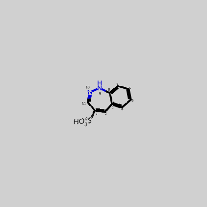 O=S(=O)(O)C1=Cc2ccccc2NN=C1